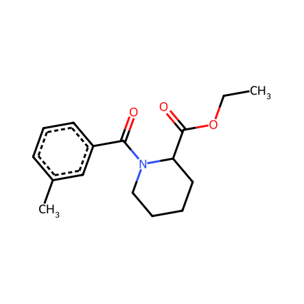 CCOC(=O)C1CCCCN1C(=O)c1cccc(C)c1